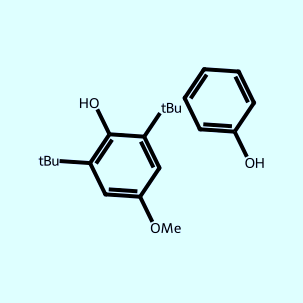 COc1cc(C(C)(C)C)c(O)c(C(C)(C)C)c1.Oc1ccccc1